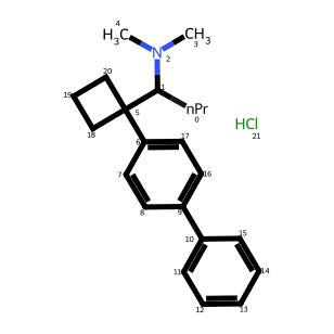 CCCC(N(C)C)C1(c2ccc(-c3ccccc3)cc2)CCC1.Cl